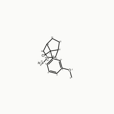 COc1cccc(C2(Cl)C3CCC2CN(P)C3)c1